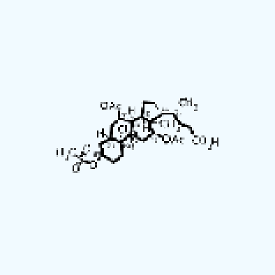 CC(=O)O[C@H]1C[C@H]2[C@@H]([C@H](OC(C)=O)C[C@@H]3C[C@H](OS(C)(=O)=O)CC[C@@]32C)[C@@H]2CC[C@H]([C@H](C)CCC(=O)O)[C@@]12C